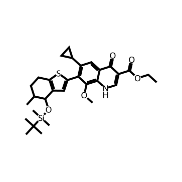 CCOC(=O)c1c[nH]c2c(OC)c(-c3cc4c(s3)CCC(C)C4O[Si](C)(C)C(C)(C)C)c(C3CC3)cc2c1=O